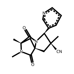 CN1C(=O)[C@@]23C[C@](C)(C#N)[C@H](c4cccnc4)N2C(=O)[C@]1(C)C3